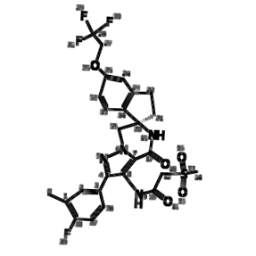 Cc1cc(-c2nn3c(c2NC(=O)CS(C)(=O)=O)C(=O)N[C@@]2(CCc4cc(OCC(F)(F)F)ccc42)C3)ccc1F